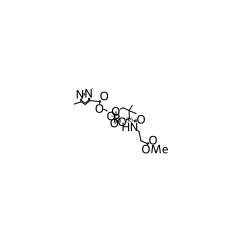 COC(=O)CCNC(=O)[C@@H]1O[P@](=O)(OCOC(=O)c2cc(C)nn2C)OCC1(C)C